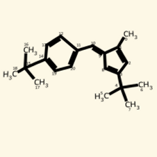 CC1=CC(C(C)(C)C)=C/C1=C\c1ccc(C(C)(C)C)cc1